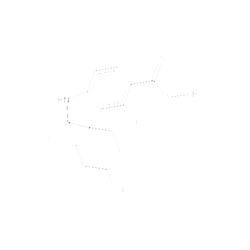 COC(=O)c1ccc2c(c1F)C1(CCC(O)CC1)C(=O)N2